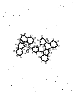 O=P(c1ccc(-c2c3ccccc3cc3c4ccccc4c4ccccc4c23)cc1)(c1cccc2ccccc12)c1cccc2ccccc12